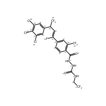 O=C(NCC(F)(F)F)NNC(=O)c1ccc(C(F)=CC(c2cc(Cl)c(Cl)c(Cl)c2)C(F)(F)F)cc1C(F)(F)F